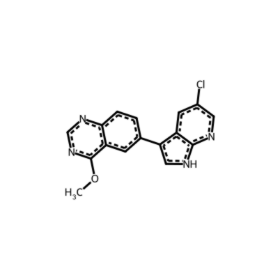 COc1ncnc2ccc(-c3c[nH]c4ncc(Cl)cc34)cc12